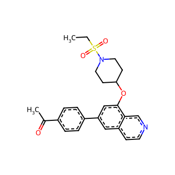 CCS(=O)(=O)N1CCC(Oc2cc(-c3ccc(C(C)=O)cc3)cc3ccncc23)CC1